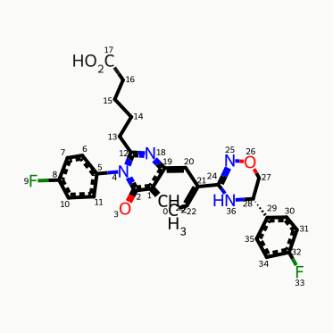 C=c1c(=O)n(-c2ccc(F)cc2)c(CCCCC(=O)O)n/c1=C/C(=C\C)C1=NOC[C@H](c2ccc(F)cc2)N1